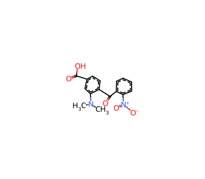 CN(C)c1cc(C(=O)O)ccc1C(=O)c1ccccc1[N+](=O)[O-]